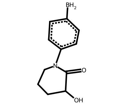 Bc1ccc(N2CCCC(O)C2=O)cc1